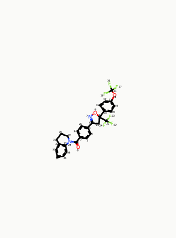 O=C(c1ccc(C2=NOC(c3ccc(OC(F)(F)F)cc3)(C(F)(F)F)C2)cc1)N1CCCc2ccccc21